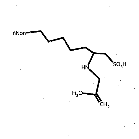 C=C(C)CNC(CCCCCCCCCCCCCC)CS(=O)(=O)O